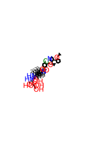 [2H]C([2H])(NC(=O)N[C@@H](CO)[C@@H](O)[C@H](O)[C@H](O)CO)C([2H])([2H])C([2H])([2H])C([2H])([2H])N(C)S(=O)(=O)c1ccc(Cl)c(COC2(c3cnccc3-c3ccccc3OC3CC3)CC2)c1